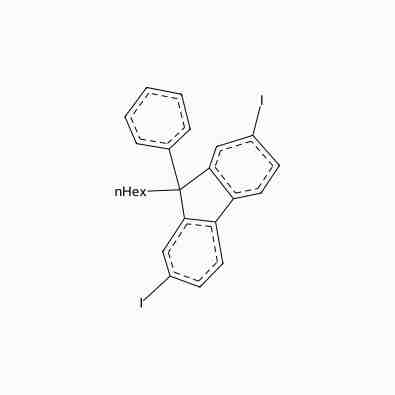 CCCCCCC1(c2ccccc2)c2cc(I)ccc2-c2ccc(I)cc21